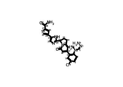 N/N=C\N(N)c1ccc(Cl)cc1-c1cc2n(c(=O)c1)C(c1ncc(-c3csc(C(N)=O)c3)[nH]1)CC2